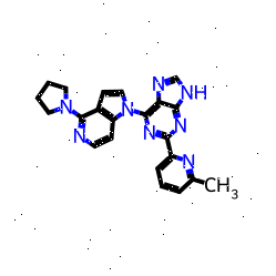 Cc1cccc(-c2nc(-n3ccc4c(N5CCCC5)nccc43)c3nc[nH]c3n2)n1